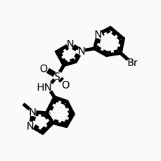 Cn1ncc2cccc(NS(=O)(=O)c3cnn(-c4cc(Br)ccn4)c3)c21